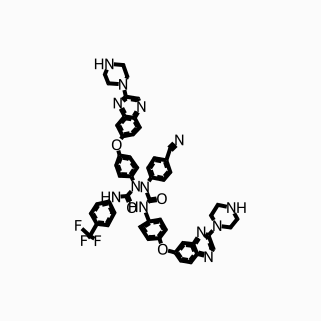 N#Cc1ccc(N(C(=O)Nc2ccc(Oc3ccc4ncc(N5CCNCC5)nc4c3)cc2)N(C(=O)Nc2ccc(C(F)(F)F)cc2)c2ccc(Oc3ccc4ncc(N5CCNCC5)nc4c3)cc2)cc1